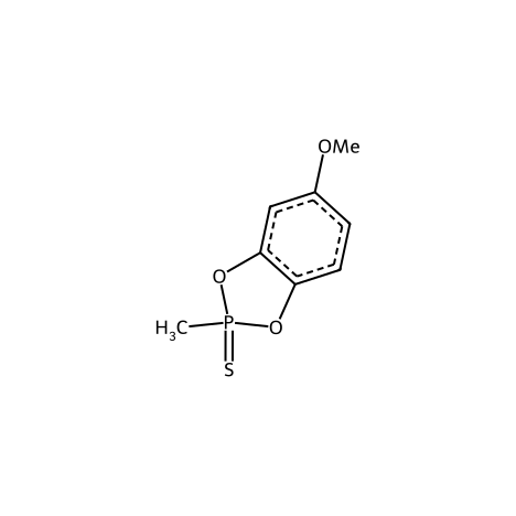 COc1ccc2c(c1)OP(C)(=S)O2